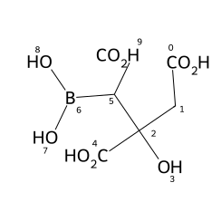 O=C(O)CC(O)(C(=O)O)C(B(O)O)C(=O)O